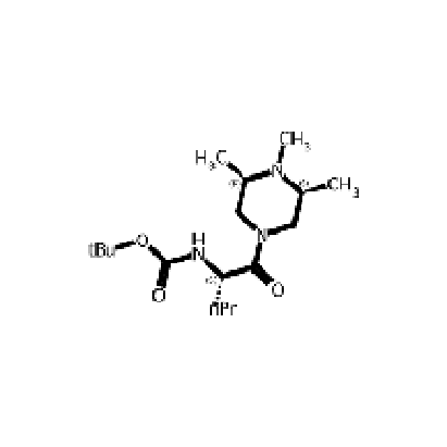 CCC[C@H](NC(=O)OC(C)(C)C)C(=O)N1C[C@@H](C)N(C)[C@@H](C)C1